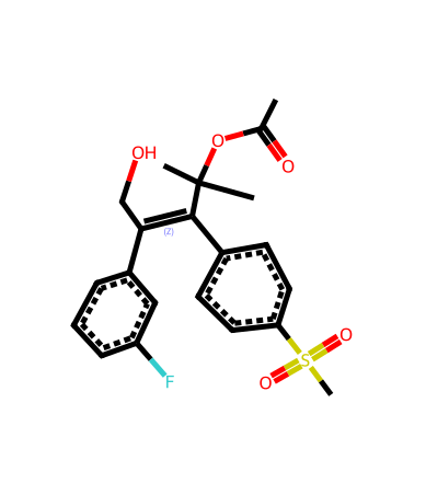 CC(=O)OC(C)(C)/C(=C(\CO)c1cccc(F)c1)c1ccc(S(C)(=O)=O)cc1